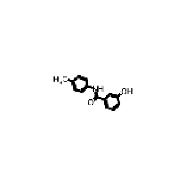 Cc1ccc(NC(=O)c2cccc(O)c2)cc1